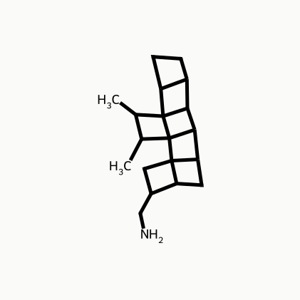 CC1C(C)C23C(C4CC5C(CN)CC542)C2C4CCC4C123